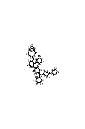 c1ccc(-c2ccc(N(c3ccccc3)c3ccc(-c4cccc5c4-c4ccccc4C54C5CCC6CCCC(C6)CC54)cc3)cc2)cc1